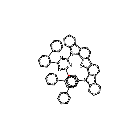 c1ccc(-c2cccc(-n3c4ccccc4c4ccc5c6ccc7c8ccccc8n(-c8nc(-c9ccccc9-c9ccccc9)nc(-c9ccccc9-c9ccccc9)n8)c7c6sc5c43)c2)cc1